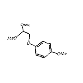 COc1ccc(OCC(OC)OC)cc1